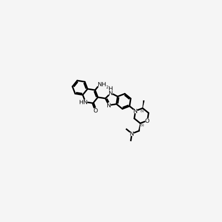 C[C@H]1CO[C@@H](CN(C)C)CN1c1ccc2[nH]c(-c3c(N)c4ccccc4[nH]c3=O)nc2c1